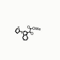 COC(=O)C(=O)c1cn(-c2cccs2)c2ccccc12